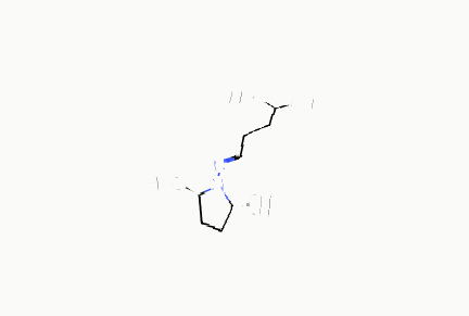 CC(C)CC/C=N/N1[C@H](C)CC[C@H]1C